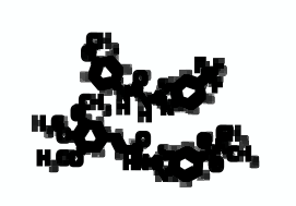 COc1cc(C=CC(=O)Nc2nc3ccc(S(=O)(=O)N(C)C)cc3s2)cc(OC)c1OC.COc1ccc(NC(=O)Nc2nc3ccc(C(F)(F)F)cc3s2)cc1